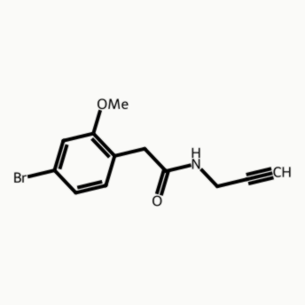 C#CCNC(=O)Cc1ccc(Br)cc1OC